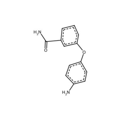 NC(=O)c1cccc(Oc2ccc(N)cc2)c1